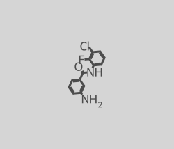 Nc1cccc(C(=O)Nc2cccc(Cl)c2F)c1